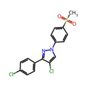 CS(=O)(=O)c1ccc(-n2cc(Cl)c(-c3ccc(Cl)cc3)n2)cc1